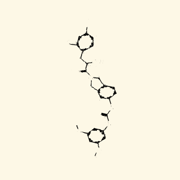 COc1cc(NC(=O)Nc2ccc3c(c2)CN(C(=O)C([AsH2])Cc2ccc(Cl)cc2Cl)C3)cc(OC)c1